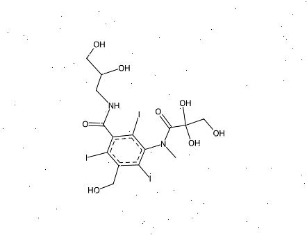 CN(C(=O)C(O)(O)CO)c1c(I)c(CO)c(I)c(C(=O)NCC(O)CO)c1I